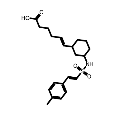 Cc1ccc(C=CS(=O)(=O)NC2CCCC(C=CCCCC(=O)O)C2)cc1